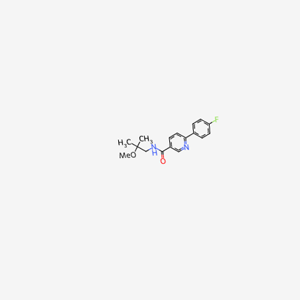 COC(C)(C)CNC(=O)c1ccc(-c2ccc(F)cc2)nc1